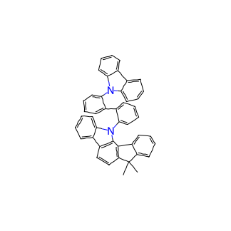 CC1(C)c2ccccc2-c2c1ccc1c3ccccc3n(-c3ccccc3-c3ccccc3-n3c4ccccc4c4ccccc43)c21